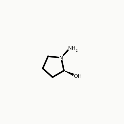 NN1CCC[C@@H]1O